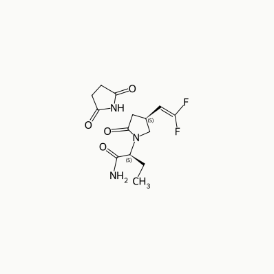 CC[C@@H](C(N)=O)N1C[C@H](C=C(F)F)CC1=O.O=C1CCC(=O)N1